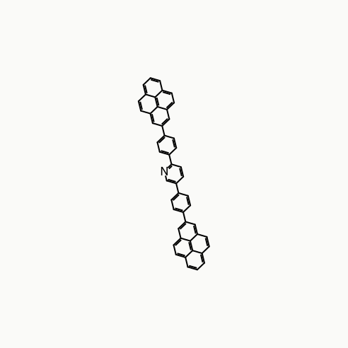 c1cc2ccc3cc(-c4ccc(-c5ccc(-c6ccc(-c7cc8ccc9cccc%10ccc(c7)c8c9%10)cc6)nc5)cc4)cc4ccc(c1)c2c34